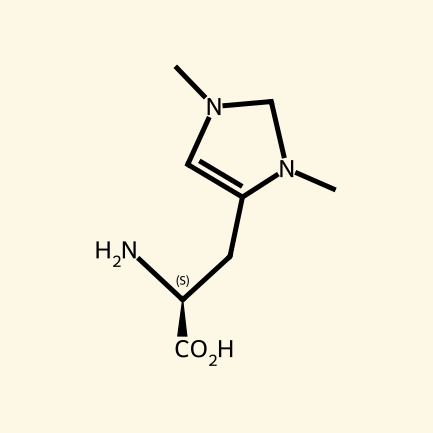 CN1C=C(C[C@H](N)C(=O)O)N(C)C1